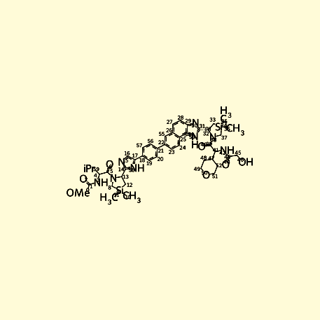 COC(=O)NC(C(=O)N1C[Si](C)(C)CC1c1ncc(-c2ccc(-c3ccc4c(ccc5nc([C@@H]6C[Si](C)(C)CN6C(=O)C(NC(=O)CO)C6CCOCC6)[nH]c54)c3)cc2)[nH]1)C(C)C